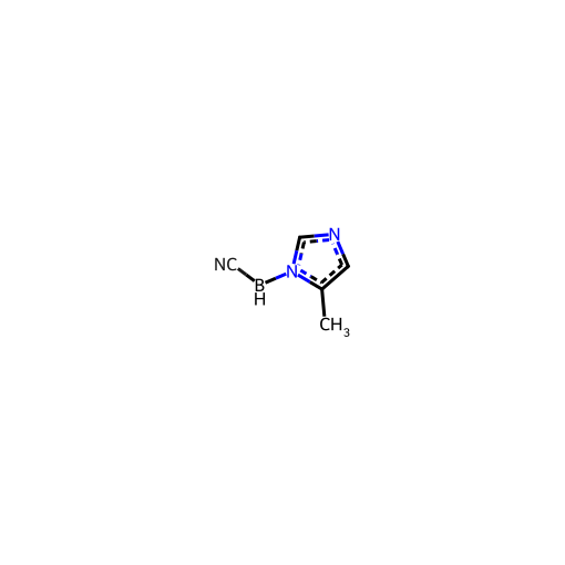 Cc1cncn1BC#N